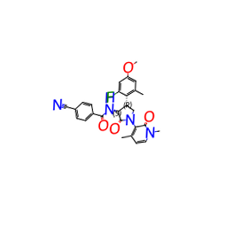 COc1cc(C)c([C@@H]2CN(c3c(C)ccn(C)c3=O)C(=O)[C@H]2NC(=O)c2ccc(C#N)cc2)c(F)c1